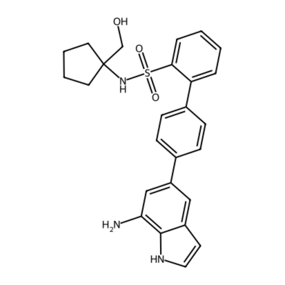 Nc1cc(-c2ccc(-c3ccccc3S(=O)(=O)NC3(CO)CCCC3)cc2)cc2cc[nH]c12